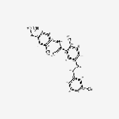 O=C(O)Cc1ccc(NC(=O)c2cc(OCc3cccc(Cl)c3)ccc2Cl)c(Cl)c1